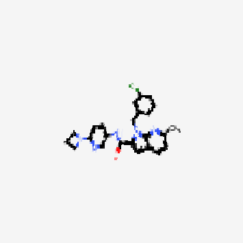 O=C(Nc1ccc(N2CCC2)nc1)c1cc2ccc(C(F)(F)F)nc2n1Cc1cccc(Cl)c1